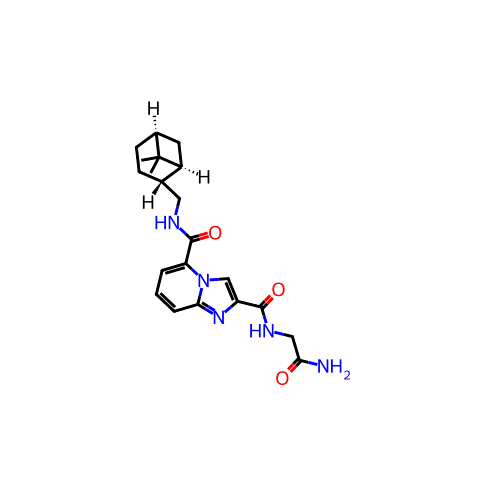 CC1(C)[C@H]2CC[C@@H](CNC(=O)c3cccc4nc(C(=O)NCC(N)=O)cn34)[C@@H]1C2